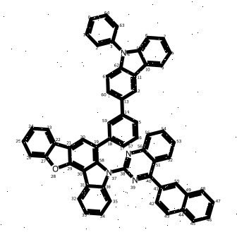 c1ccc(-n2c3ccccc3c3cc(-c4cccc(-c5cc6c7ccccc7oc6c6c7ccccc7n(-c7nc(-c8ccc9ccccc9c8)c8ccccc8n7)c56)c4)ccc32)cc1